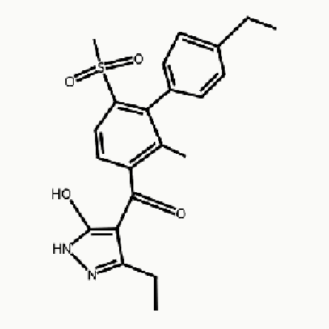 CCc1ccc(-c2c(S(C)(=O)=O)ccc(C(=O)c3c(CC)n[nH]c3O)c2C)cc1